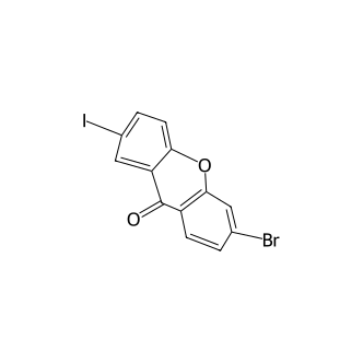 O=c1c2ccc(Br)cc2oc2ccc(I)cc12